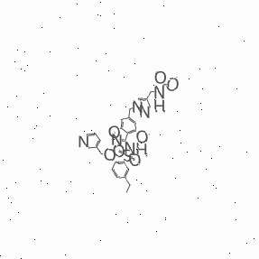 CCc1ccc(OCc2cccnc2)c(S(=O)(=O)Nc2noc3cc(Cn4cc(CNC(=O)OC)cn4)cc(OC)c23)c1